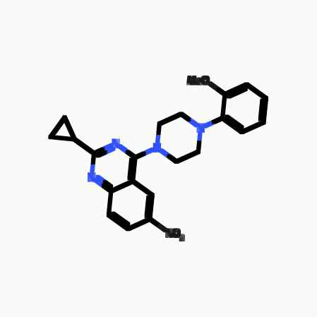 COc1ccccc1N1CCN(c2nc(C3CC3)nc3ccc([N+](=O)[O-])cc23)CC1